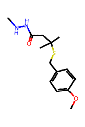 CNNC(=O)CC(C)(C)SCc1ccc(OC)cc1